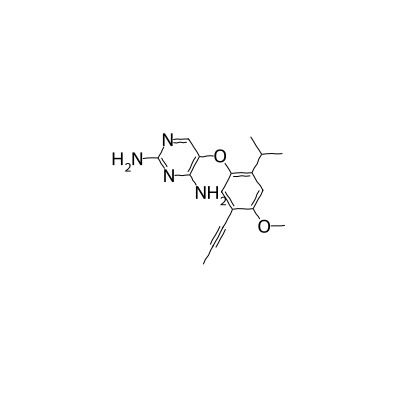 CC#Cc1cc(Oc2cnc(N)nc2N)c(C(C)C)cc1OC